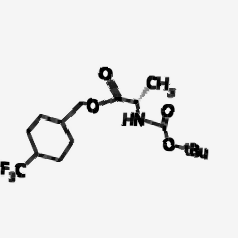 C[C@H](NC(=O)OC(C)(C)C)C(=O)OCC1CCC(C(F)(F)F)CC1